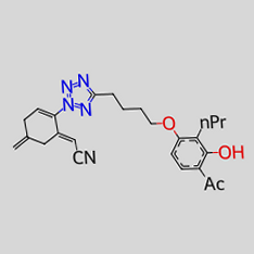 C=C1CC=C(n2nnc(CCCCOc3ccc(C(C)=O)c(O)c3CCC)n2)C(=CC#N)C1